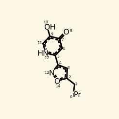 CC(C)Cc1cc(-c2cc(=O)c(O)c[nH]2)no1